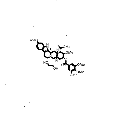 COC(=O)[C@H]1[C@H]2C[C@@H]3c4[nH]c5cc(OC)ccc5c4CCN3C[C@H]2C[C@@H](OC(=O)c2cc(OC)c(OC)c(OC)c2)[C@@H]1OC.OCCO